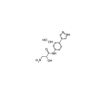 Cl.Cl.NCC(O)C(=O)Nc1ccc(-c2cn[nH]c2)cc1